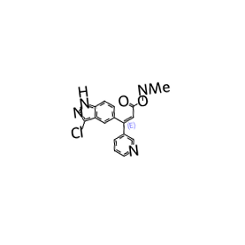 CNOC(=O)/C=C(/c1cccnc1)c1ccc2[nH]nc(Cl)c2c1